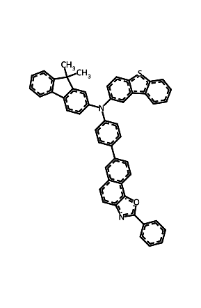 CC1(C)c2ccccc2-c2ccc(N(c3ccc(-c4ccc5c(ccc6nc(-c7ccccc7)oc65)c4)cc3)c3ccc4sc5ccccc5c4c3)cc21